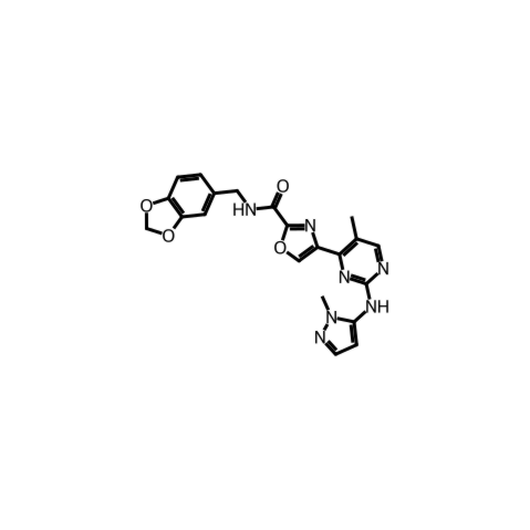 Cc1cnc(Nc2ccnn2C)nc1-c1coc(C(=O)NCc2ccc3c(c2)OCO3)n1